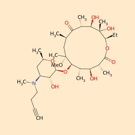 C#CCCN(C)[C@H]1C[C@@H](C)O[C@@H](O[C@@H]2[C@@H](C)[C@H](O)[C@@H](C)C(=O)O[C@H](CC)[C@@](C)(O)[C@H](O)[C@@H](C)C(=O)[C@H](C)C[C@@]2(C)OC)[C@@H]1O